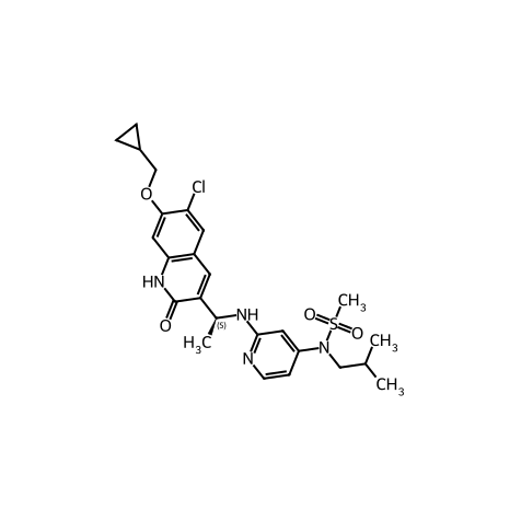 CC(C)CN(c1ccnc(N[C@@H](C)c2cc3cc(Cl)c(OCC4CC4)cc3[nH]c2=O)c1)S(C)(=O)=O